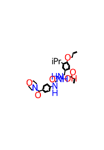 C=CCOc1cc(OCC=C)c(C(O)NNC(=O)Nc2ccc(C(=O)N3CCOCC3)cc2)cc1C(C)C